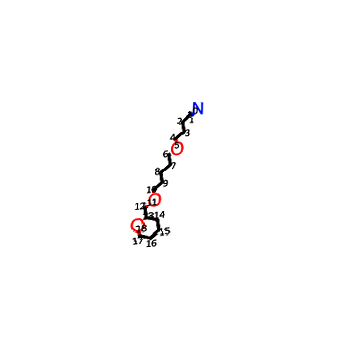 N#CCCCOCCCCCOCC1CCCCO1